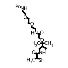 CC(C)NCCOCCOCCNC(=O)COC(C)(C)C(F)CNC(=O)C(C)S